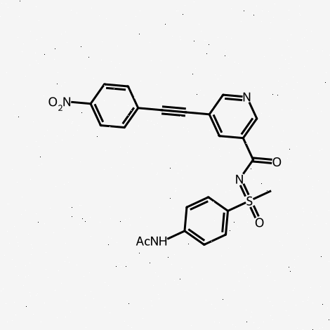 CC(=O)Nc1ccc(S(C)(=O)=NC(=O)c2cncc(C#Cc3ccc([N+](=O)[O-])cc3)c2)cc1